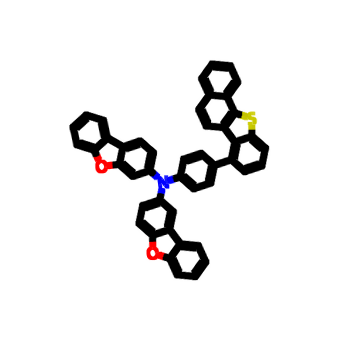 c1ccc2c(c1)ccc1c2sc2cccc(-c3ccc(N(c4ccc5c(c4)oc4ccccc45)c4ccc5oc6ccccc6c5c4)cc3)c21